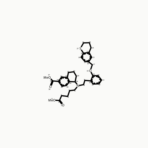 COC(=O)CCCCN(CCc1ccccc1OCc1ccc2c(c1)CCCS2)C1CCCc2cc(C(=O)OC)ccc21